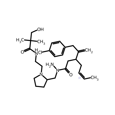 C=C(Cc1ccc(Cl)cc1)C(C/C=C\C)CC(=O)N(N)CC1CCCN1CCNC(=O)C(C)(C)CO